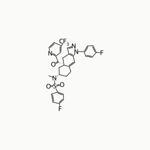 CN([C@H]1CCC2=Cc3c(cnn3-c3ccc(F)cc3)C[C@]2(C(=O)c2cc(C(F)(F)F)ccn2)C1)S(=O)(=O)c1ccc(F)cc1